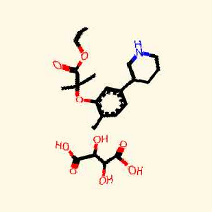 CCOC(=O)C(C)(C)Oc1cc(C2CCCNC2)ccc1C.O=C(O)C(O)C(O)C(=O)O